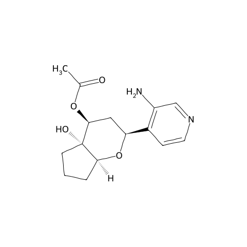 CC(=O)O[C@H]1C[C@@H](c2ccncc2N)O[C@H]2CCC[C@@]12O